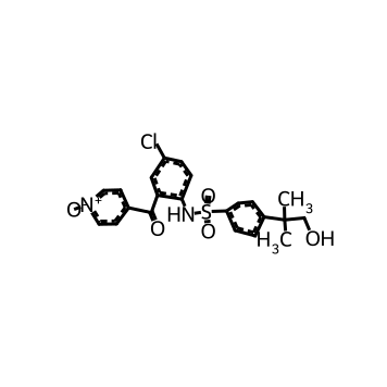 CC(C)(CO)c1ccc(S(=O)(=O)Nc2ccc(Cl)cc2C(=O)c2cc[n+]([O-])cc2)cc1